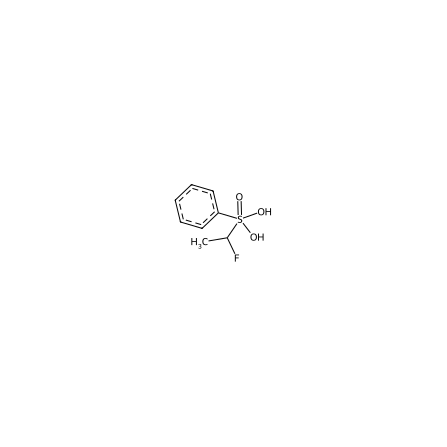 CC(F)S(=O)(O)(O)c1ccccc1